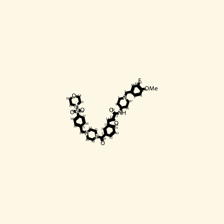 COc1ccc(CN2CCC(NC(=O)c3cc4cc(C(=O)N5CCN(Cc6ccc(S(=O)(=O)N7CCOCC7)cc6)CC5)ccc4o3)CC2)cc1F